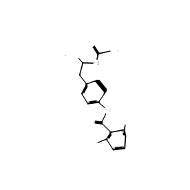 CC(C)(C)C(=O)NC(Cc1c#cc(NC(=O)c2c(Cl)cccc2Cl)cc1)C(=O)O